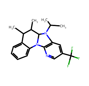 CC1c2ccccc2N2c3ncc(C(F)(F)F)cc3N(C(C)C)C2C1C